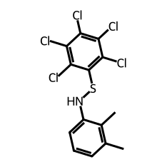 Cc1cccc(NSc2c(Cl)c(Cl)c(Cl)c(Cl)c2Cl)c1C